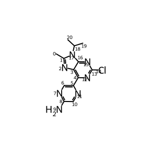 Cc1nc2c(-c3cnc(N)cn3)nc(Cl)nc2n1C(C)C